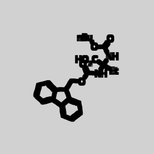 CCCCOC(=O)NC(CC)(NC(=O)OCC1c2ccccc2-c2ccccc21)C(=O)O